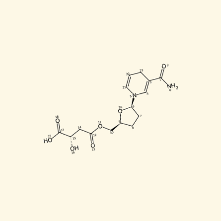 NC(=O)C1=CN([C@H]2CC[C@@H](COC(=O)C[C@H](O)C(=O)O)O2)C=CC1